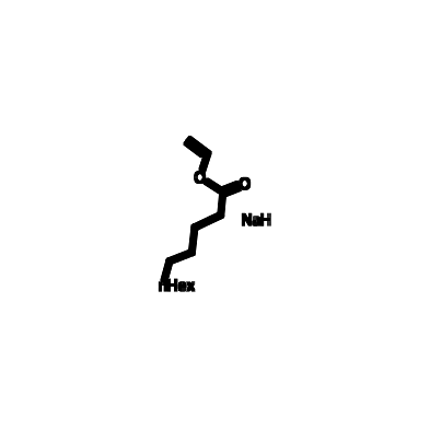 C=COC(=O)CCCCCCCCCC.[NaH]